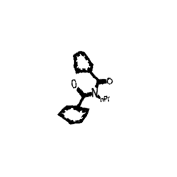 CCCN(C(=O)c1ccccc1)C(=O)c1ccccc1